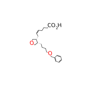 O=C(O)CCC/C=C\C[C@H]1COC[C@H]1CCCCOCc1ccccc1